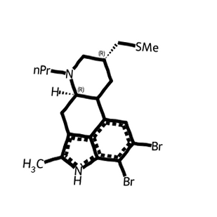 CCCN1C[C@H](CSC)CC2c3cc(Br)c(Br)c4[nH]c(C)c(c34)C[C@H]21